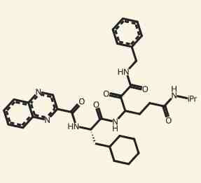 CC(C)NC(=O)CCC(NC(=O)[C@H](CC1CCCCC1)NC(=O)c1cnc2ccccc2n1)C(=O)C(=O)NCc1ccccc1